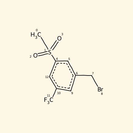 CS(=O)(=O)c1cc(CBr)cc(C(F)(F)F)c1